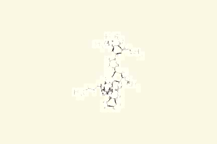 CCCCN(O)C(=O)Nc1cc(C2CCC(c3cc(OC)c(OC)c(OC)c3)S2)cc(OC)c1OC(C)Sc1ccccc1Br